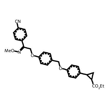 CCOC(=O)C1CC1c1ccc(OCc2ccc(OCC(=NOC)c3ccc(C#N)cc3)cc2)cc1